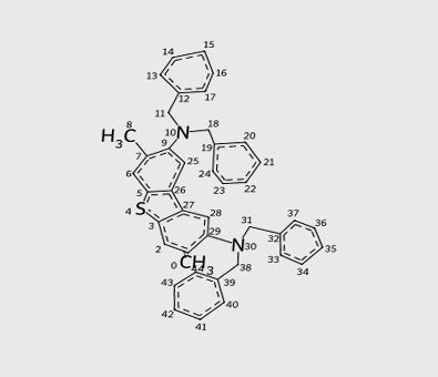 Cc1cc2sc3cc(C)c(N(Cc4ccccc4)Cc4ccccc4)cc3c2cc1N(Cc1ccccc1)Cc1ccccc1